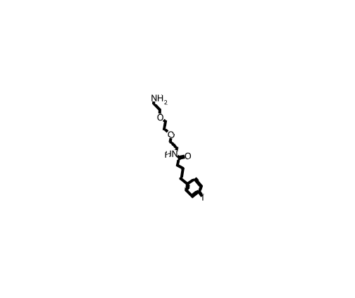 NCCOCCOCCNC(=O)CCCc1ccc(I)cc1